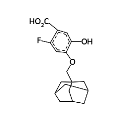 O=C(O)c1cc(O)c(OCC23CC4CC(CC(C4)C2)C3)cc1F